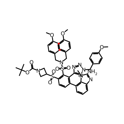 COc1ccc(CN(Cc2ccc(OC)cc2)S(=O)(=O)c2c(S(=O)(=O)C3CN(C(=O)OC(C)(C)C)C3)ccc(-c3cccc4nc(N)n(C)c34)c2-c2nnn(Cc3ccc(OC)cc3)n2)cc1